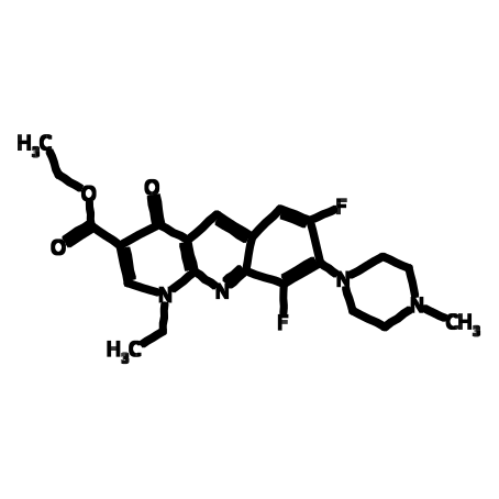 CCOC(=O)c1cn(CC)c2nc3c(F)c(N4CCN(C)CC4)c(F)cc3cc2c1=O